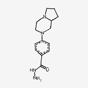 NNC(=O)c1ccc(N2CCN3CCCC3C2)cc1